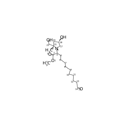 COC(=O)C(CCCCCCCCCC=O)N1C[C@H](O)C[C@@]1(C)CO